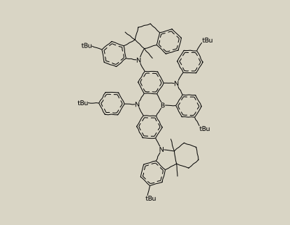 CC(C)(C)c1ccc(N2c3ccc(N4c5ccc(C(C)(C)C)cc5C5(C)CCCCC45C)cc3B3c4cc(C(C)(C)C)ccc4N(c4ccc(C(C)(C)C)cc4)c4cc(N5c6ccc(C(C)(C)C)cc6C6(C)CCc7ccccc7C56C)cc2c43)cc1